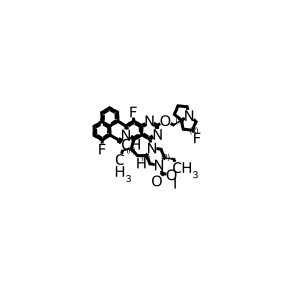 C#Cc1c(F)ccc2cccc(-c3nc4c5c(nc(OC[C@@]67CCCN6C[C@H](F)C7)nc5c3F)N3C[C@@H](CC)N(C(=O)OI)C[C@H]3C[C@H]4CC)c12